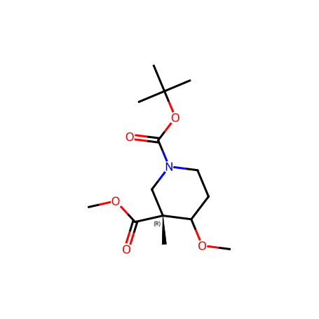 COC(=O)[C@]1(C)CN(C(=O)OC(C)(C)C)CCC1OC